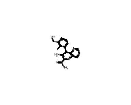 Cc1c(CO)cccc1-c1c(N)c(C(N)=O)nc2cccnc12